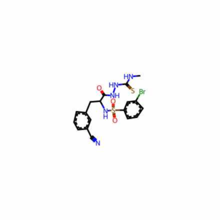 CNC(=S)NNC(=O)C(Cc1cccc(C#N)c1)NS(=O)(=O)c1cccc(Br)c1